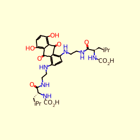 CC(C)C[C@@H](NC(=O)O)C(=O)NCCNc1ccc(NCCNC(=O)[C@@H](CC(C)C)NC(=O)O)c2c1C(=O)c1c(O)ccc(O)c1C2=O